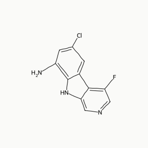 Nc1cc(Cl)cc2c1[nH]c1cncc(F)c12